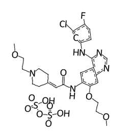 COCCOc1cc2ncnc(Nc3ccc(F)c(Cl)c3)c2cc1NC(=O)C=C1CCN(CCOC)CC1.O=S(=O)(O)OS(=O)(=O)O